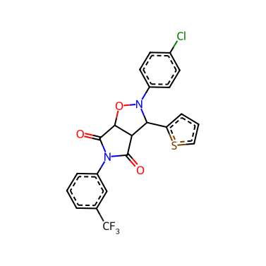 O=C1C2ON(c3ccc(Cl)cc3)C(c3cccs3)C2C(=O)N1c1cccc(C(F)(F)F)c1